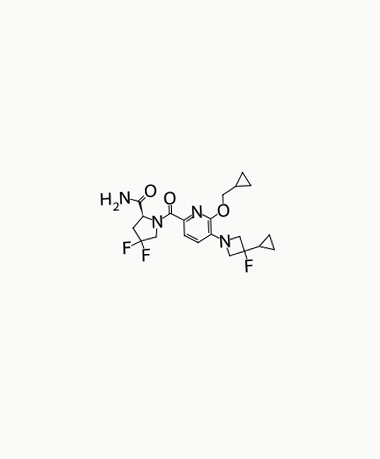 NC(=O)[C@@H]1CC(F)(F)CN1C(=O)c1ccc(N2CC(F)(C3CC3)C2)c(OCC2CC2)n1